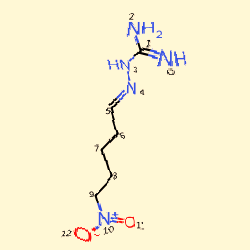 N=C(N)NN=CCCCC[N+](=O)[O-]